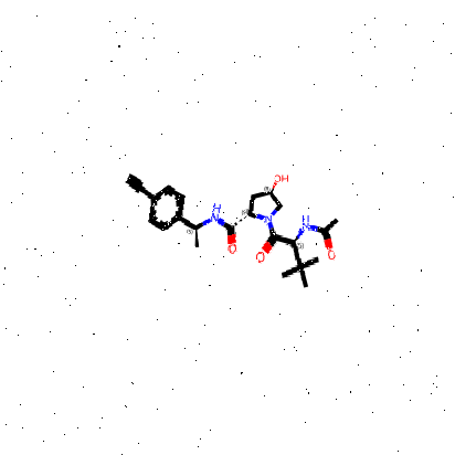 C#Cc1ccc([C@H](C)NC(=O)[C@@H]2C[C@@H](O)CN2C(=O)[C@@H](NC(C)=O)C(C)(C)C)cc1